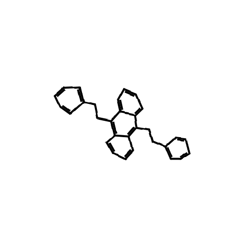 c1ccc(CCc2c3ccccc3c(CCc3ccccc3)c3ccccc23)cc1